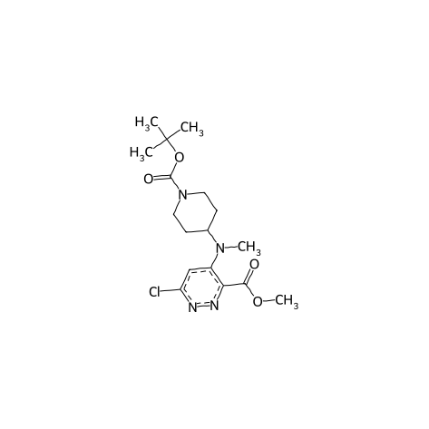 COC(=O)c1nnc(Cl)cc1N(C)C1CCN(C(=O)OC(C)(C)C)CC1